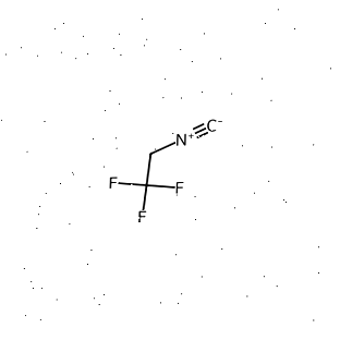 [C-]#[N+]CC(F)(F)F